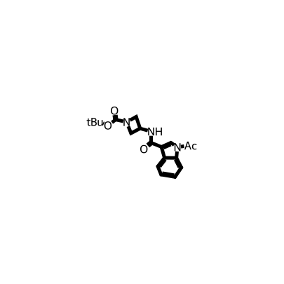 CC(=O)n1cc(C(=O)NC2CN(C(=O)OC(C)(C)C)C2)c2ccccc21